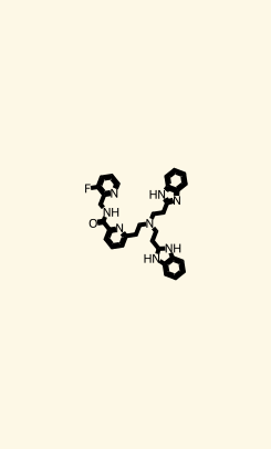 O=C(NCc1ncccc1F)c1cccc(CCN(CCc2nc3ccccc3[nH]2)CCC2Nc3ccccc3N2)n1